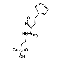 O=C(NCCS(=O)(=O)O)c1cc(-c2ccccc2)on1